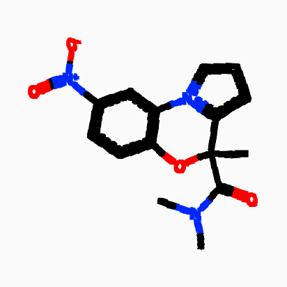 CN(C)C(=O)C1(C)Oc2ccc([N+](=O)[O-])cc2-n2cccc21